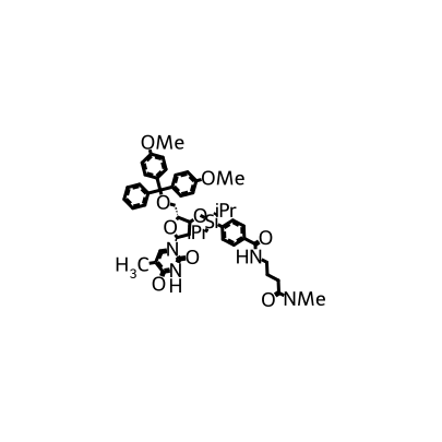 CNC(=O)CCCNC(=O)c1ccc([Si](OC2C[C@H](n3cc(C)c(=O)[nH]c3=O)O[C@@H]2COC(c2ccccc2)(c2ccc(OC)cc2)c2ccc(OC)cc2)(C(C)C)C(C)C)cc1